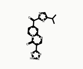 CC(C)c1csc(C(=O)c2ccn3c(=O)c(-c4nn[nH]n4)cnc3c2)n1